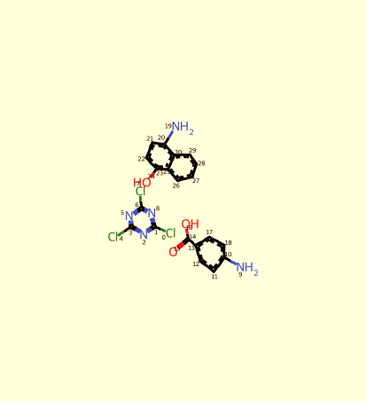 Clc1nc(Cl)nc(Cl)n1.Nc1ccc(C(=O)O)cc1.Nc1ccc(O)c2ccccc12